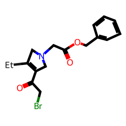 CCC1=C(C(=O)CBr)CN(CC(=O)OCc2ccccc2)C1